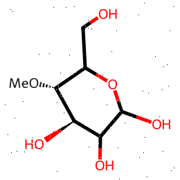 CO[C@@H]1C(CO)OC(O)C(O)[C@H]1O